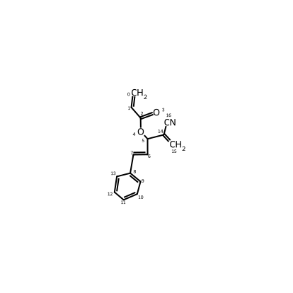 C=CC(=O)OC(C=Cc1ccccc1)C(=C)C#N